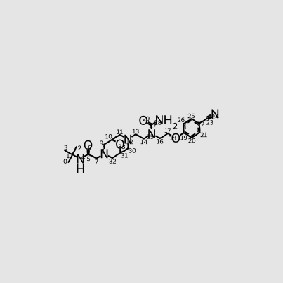 CC(C)(C)NC(=O)CN1CC2CN(CCN(CCOc3ccc(C#N)cc3)C(N)=O)CC(C1)O2